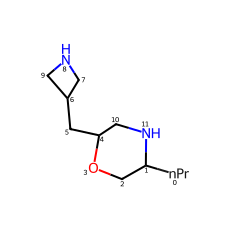 CCCC1COC(CC2CNC2)CN1